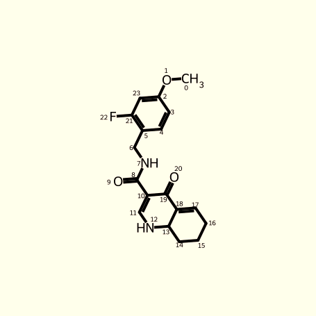 COc1ccc(CNC(=O)C2=CNC3CCCC=C3C2=O)c(F)c1